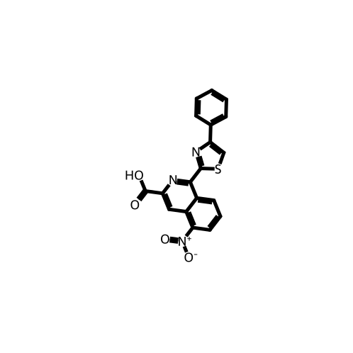 O=C(O)c1cc2c([N+](=O)[O-])cccc2c(-c2nc(-c3ccccc3)cs2)n1